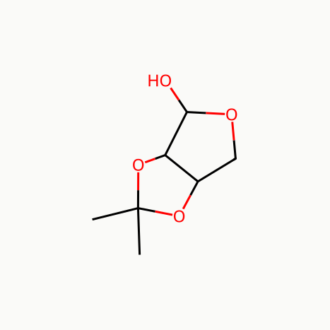 CC1(C)OC2COC(O)C2O1